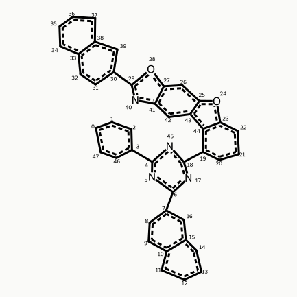 c1ccc(-c2nc(-c3ccc4ccccc4c3)nc(-c3cccc4oc5cc6oc(-c7ccc8ccccc8c7)nc6cc5c34)n2)cc1